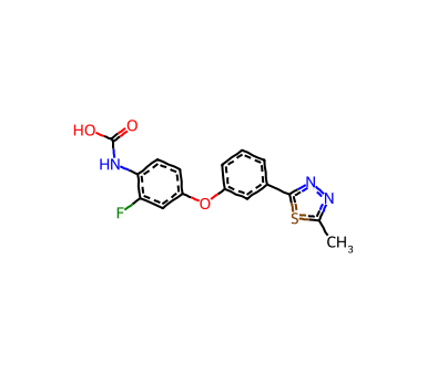 Cc1nnc(-c2cccc(Oc3ccc(NC(=O)O)c(F)c3)c2)s1